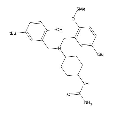 CSOc1ccc(C(C)(C)C)cc1CN(Cc1cc(C(C)(C)C)ccc1O)C1CCC(NC(N)=O)CC1